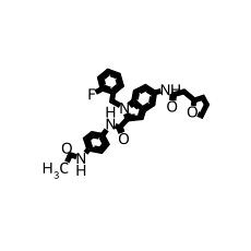 CC(=O)Nc1ccc(NC(=O)c2cc3cc(NC(=O)CC4CCCO4)ccc3n2Cc2ccccc2F)cc1